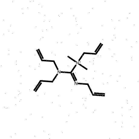 C=CCN=C(N(CC=C)CC=C)[N+](C)(C)CC=C